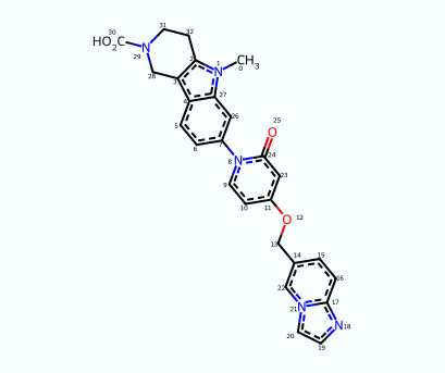 Cn1c2c(c3ccc(-n4ccc(OCc5ccc6nccn6c5)cc4=O)cc31)CN(C(=O)O)CC2